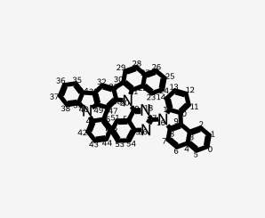 c1ccc2c(c1)ccc1c2c2ccccc2n1-c1nc(-n2c3c4ccccc4ccc3c3cc4c5ccccc5n5c6ccccc6c(c32)c45)c2ccccc2n1